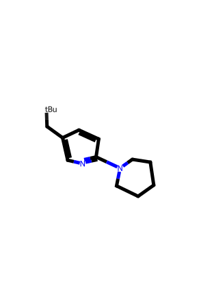 CC(C)(C)Cc1ccc(N2CCCCC2)nc1